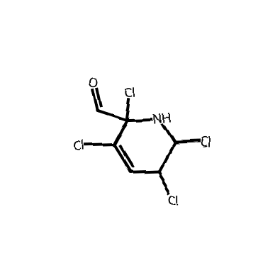 O=CC1(Cl)NC(Cl)C(Cl)C=C1Cl